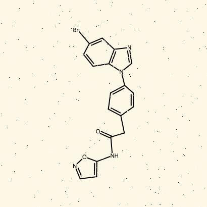 O=C(Cc1ccc(-n2cnc3cc(Br)ccc32)cc1)Nc1ccno1